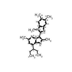 CCC(CC)c1cc(C)nn2c(-c3nc4cc(C)c(C)cc4n3C)c(C)nc12